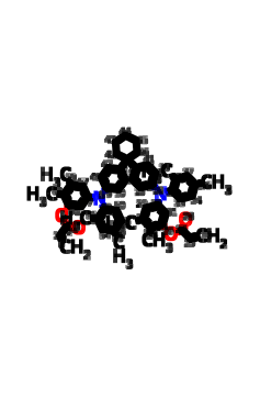 C=CC(=O)Oc1cc(N(c2ccc(C3(c4ccc(N(c5cc(C)c(C)c(OC(=O)C=C)c5)c5ccc(C)cc5C)cc4)CCCCC3)cc2)c2ccc(C)cc2C)cc(C)c1C